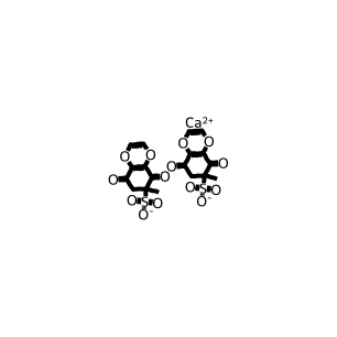 CC1(S(=O)(=O)[O-])CC(=O)C2=C(OC=CO2)C1=O.CC1(S(=O)(=O)[O-])CC(=O)C2=C(OC=CO2)C1=O.[Ca+2]